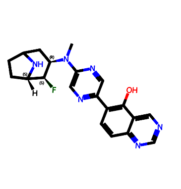 CN(c1cnc(-c2ccc3ncncc3c2O)cn1)[C@@H]1CC2CC[C@H](N2)[C@@H]1F